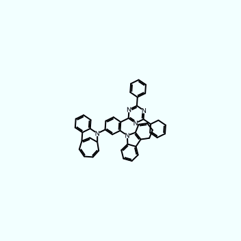 C1=CCC(c2nc(-c3ccccc3)nc(-c3ccc(N4c5ccccc5C5=CC4C=CC=C5)cc3-n3c4c(c5ccccc53)CCC=C4)n2)C=C1